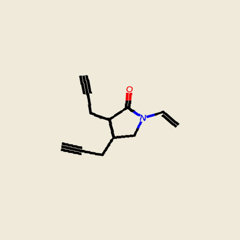 C#CCC1CN(C=C)C(=O)C1CC#C